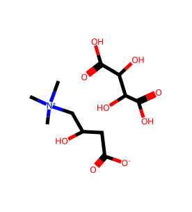 C[N+](C)(C)CC(O)CC(=O)[O-].O=C(O)C(O)C(O)C(=O)O